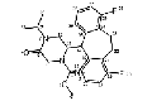 COC(=N)N1CC(=O)N(C(C)C)CC1C1c2cccc(F)c2CCc2c(F)cccc21